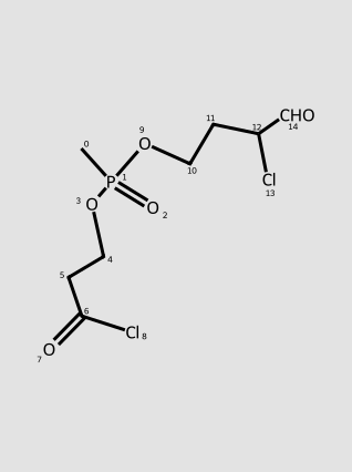 CP(=O)(OCCC(=O)Cl)OCCC(Cl)C=O